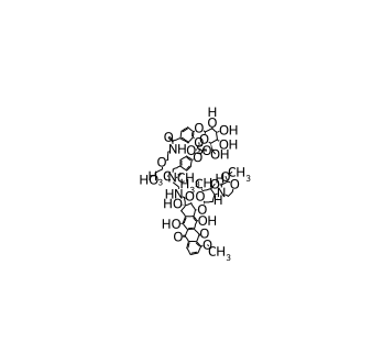 COc1cccc2c1C(=O)c1c(O)c3c(c(O)c1C2=O)C[C@@](O)(C(=O)NCC[N+](C)(C)Cc1ccc(OS(=O)(=O)Oc2cc(C(=O)NCCOCCO)ccc2OC2O[C@H](CO)[C@H](O)[C@H](O)[C@H]2O)cc1)C[C@@H]3O[C@H]1C[C@H]2[C@H](O[C@@H]3[C@@H](OC)OCCN32)[C@H](C)O1